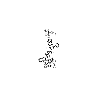 CC(C)CC(NC(=O)C(Cc1ccccc1)N1C(=O)C(NC(=O)C(CCc2ccccc2)NC(=O)Cc2cc(COC(=O)N(C)C)on2)CC1C)C(=O)C1(C)CO1